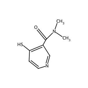 CN(C)C(=O)c1cnccc1S